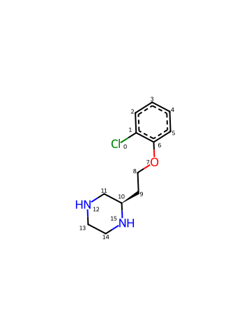 Clc1ccccc1OCC[C@@H]1CNCCN1